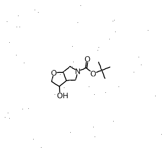 CC(C)(C)OC(=O)N1CC2OCC(O)C2C1